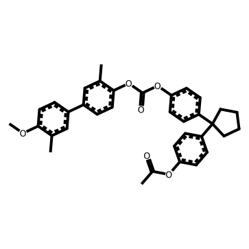 COc1ccc(-c2ccc(OC(=O)Oc3ccc(C4(c5ccc(OC(C)=O)cc5)CCCC4)cc3)c(C)c2)cc1C